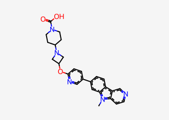 Cn1c2ccncc2c2ccc(-c3ccc(OC4CN(C5CCN(C(=O)O)CC5)C4)nc3)cc21